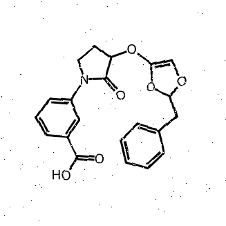 O=C(O)c1cccc(N2CCC(OC3=COC(Cc4ccccc4)O3)C2=O)c1